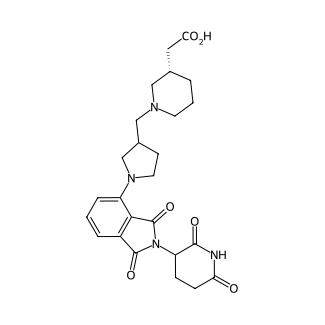 O=C(O)C[C@@H]1CCCN(CC2CCN(c3cccc4c3C(=O)N(C3CCC(=O)NC3=O)C4=O)C2)C1